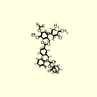 C=C/C(Cl)=C(C[C@H](OC(=O)c1cccc(CN(C(=O)O[C@H]2CN3CCC2CC3)c2ccccc2F)c1)c1ccc(OC(F)F)c(OCC)c1)\C(Cl)=C/C